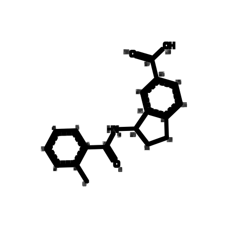 Cc1ccccc1C(=O)NC1CCc2ccc(C(=O)O)cc21